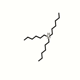 CCCCC[CH2][SnH]([CH2]CCCCC)[CH2]CCCCC